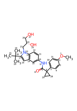 COc1ccc(C2(C(=O)Nc3ccc4c(c3)cc(C(C)(C)C)n4C[C@@H](O)CO)CC2)cc1